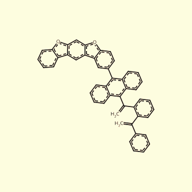 C=C(c1ccccc1)c1ccccc1C(=C)c1c2ccccc2c(-c2ccc3oc4cc5oc6ccccc6c5cc4c3c2)c2ccccc12